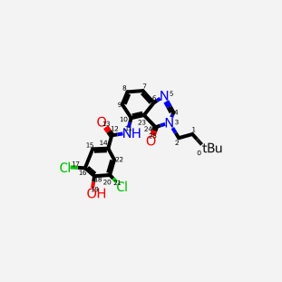 CC(C)(C)CCn1cnc2cccc(NC(=O)c3cc(Cl)c(O)c(Cl)c3)c2c1=O